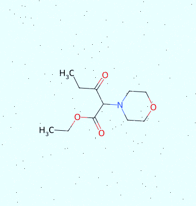 CCOC(=O)C(C(=O)CC)N1CCOCC1